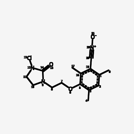 Cc1cc(C)c(OCCN2CCN(Cl)C2=O)c(C)c1C#[N+][O-]